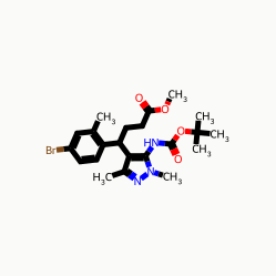 COC(=O)CCC(c1ccc(Br)cc1C)c1c(C)nn(C)c1NC(=O)OC(C)(C)C